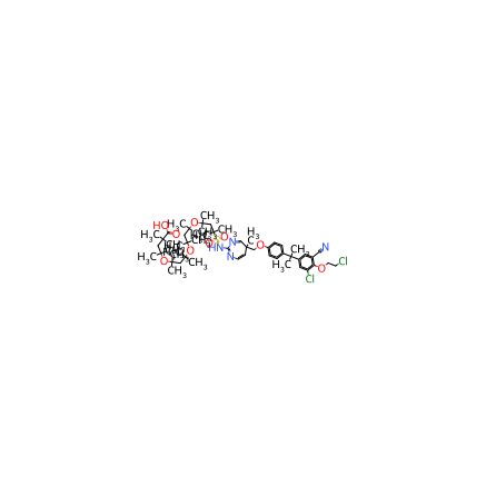 CC1(COc2ccc(C(C)(C)c3cc(Cl)c(OCCCl)c(C#N)c3)cc2)C=CN=C(NS(=O)(=O)C(C)(C)CC(C)(C)OC(C)(C)CC(C)(C)OC(C)(C)CC(C)(C)OC(C)(C)CC(C)(C)C(=O)O)N=C1